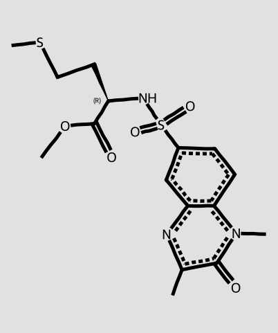 COC(=O)[C@@H](CCSC)NS(=O)(=O)c1ccc2c(c1)nc(C)c(=O)n2C